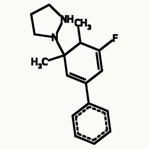 CC1C(F)=CC(c2ccccc2)=CC1(C)N1CCCN1